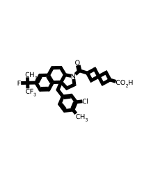 Cc1ccc(CC23CCN(C(=O)C4CC5(CC(C(=O)O)C5)C4)C2CCc2cc(C(C)(F)C(F)(F)F)ccc23)cc1Cl